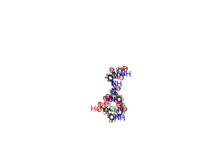 O=C(O)COc1c(C(=O)O)sc(-c2cccc(NC3CCN(S(=O)(=O)Cc4ccc(F)c(NC(=O)C5CN(C(=O)CNc6cccc7c6CN(C6CCC(=O)NC6=O)C7=O)C5)c4)CC3)c2)c1Cl